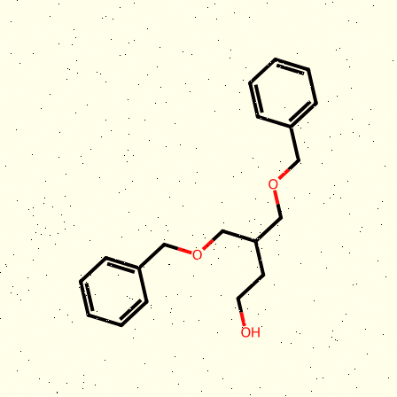 OCCC(COCc1ccccc1)COCc1ccccc1